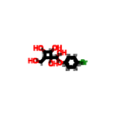 OCC1C(O)C(O)C1(O)C(O)Oc1ccc(Br)cc1